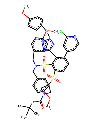 COc1ccc(CN(Cc2ccc(OC)cc2)S(=O)(=O)c2c(S(=O)(=O)C3CN(C(=O)OC(C)(C)C)C3)ccc(-c3ccnc(Cl)c3)c2-c2nnn(Cc3ccc(OC)cc3)n2)cc1